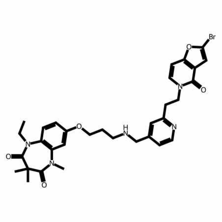 CCN1C(=O)C(C)(C)C(=O)N(C)c2cc(OCCCNCc3ccnc(CCn4ccc5oc(Br)cc5c4=O)c3)ccc21